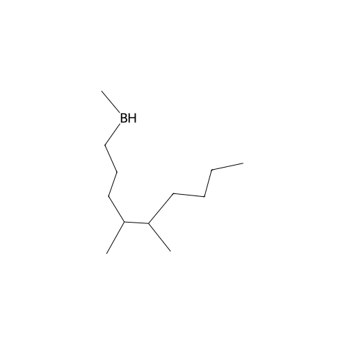 CBCCCC(C)C(C)CCCC